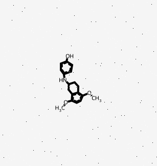 COc1ccc(OC)c2c1CCC(Nc1ccc(O)cc1)C2